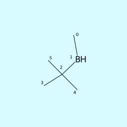 CBC(C)(C)C